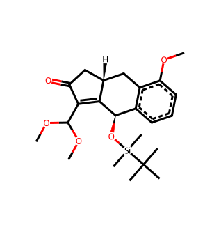 COc1cccc2c1C[C@H]1CC(=O)C(C(OC)OC)=C1[C@@H]2O[Si](C)(C)C(C)(C)C